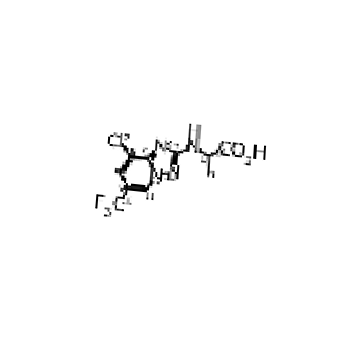 CC(Nc1nc2c(Cl)cc(C(F)(F)F)cn2n1)C(=O)O